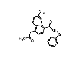 Brc1ccccc1.CC(=O)Cc1ccc(C(C)=O)c2nc(N)ccc12